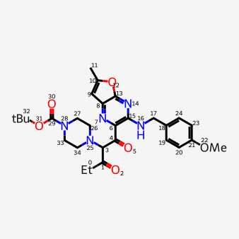 CCC(=O)C(C(=O)c1nc2cc(C)oc2nc1NCc1ccc(OC)cc1)N1CCN(C(=O)OC(C)(C)C)CC1